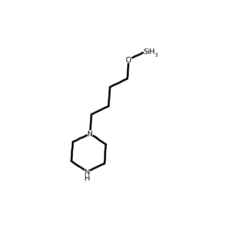 [SiH3]OCCCCN1CCNCC1